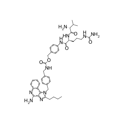 CCCCc1nc2c(N)nc3ccccc3c2n1Cc1ccc(CNC(=O)OCc2ccc(NC(=O)[C@H](CCCNC(N)=O)NC(=O)[C@H](N)C(C)C)cc2)cc1